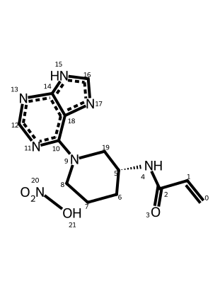 C=CC(=O)N[C@@H]1CCCN(c2ncnc3[nH]cnc23)C1.O=[N+]([O-])O